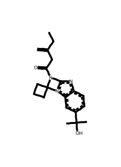 C=C(CC)CC(=O)N1c2nc3ccc(C(C)(C)O)cc3n2C12CCC2